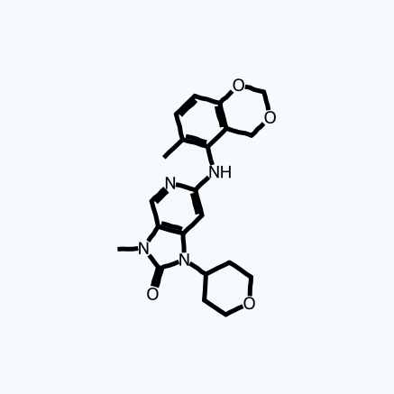 Cc1ccc2c(c1Nc1cc3c(cn1)n(C)c(=O)n3C1CCOCC1)COCO2